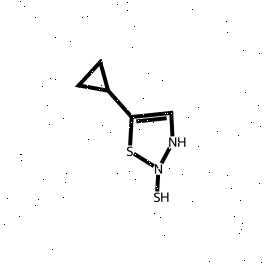 SN1NC=C(C2CC2)S1